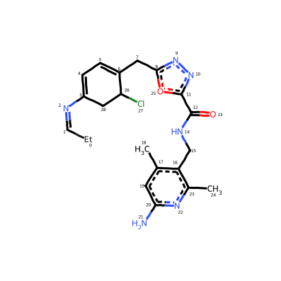 CC/C=N\C1=CC=C(Cc2nnc(C(=O)NCc3c(C)cc(N)nc3C)o2)C(Cl)C1